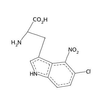 NC(Cc1c[nH]c2ccc(Cl)c([N+](=O)[O-])c12)C(=O)O